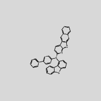 c1ccc(-c2ccc(N(c3ccc4c(n3)oc3cc5ccccc5cc34)c3cccc4sc5ccccc5c34)cc2)cc1